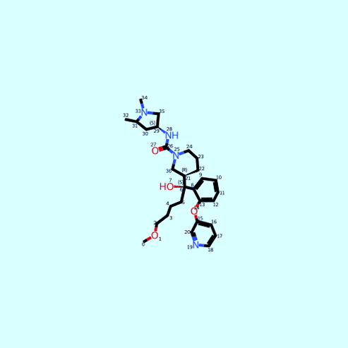 COCCCC[C@@](O)(c1ccccc1Oc1cccnc1)[C@@H]1CCCN(C(=O)N[C@H]2CC(C)N(C)C2)C1